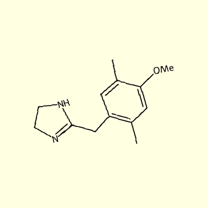 COc1cc(C)c(CC2=NCCN2)cc1C